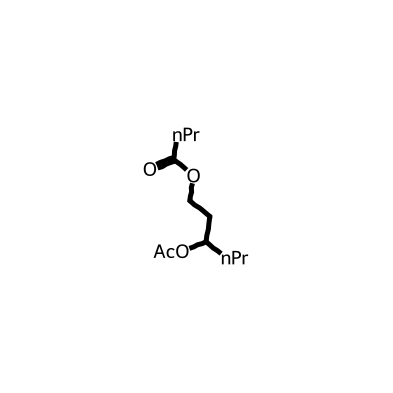 CCCC(=O)OCCC(CCC)OC(C)=O